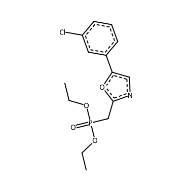 CCOP(=O)(Cc1ncc(-c2cccc(Cl)c2)o1)OCC